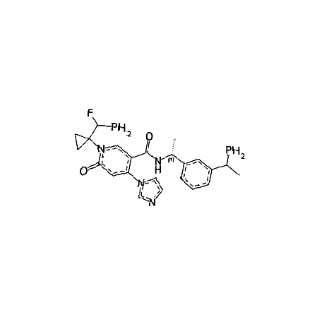 CC(P)c1cccc([C@@H](C)NC(=O)c2cn(C3(C(F)P)CC3)c(=O)cc2-n2ccnc2)c1